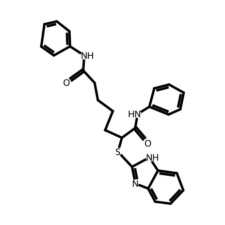 O=C(CCCCC(Sc1nc2ccccc2[nH]1)C(=O)Nc1ccccc1)Nc1ccccc1